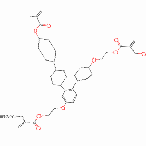 C=C(C)C(=O)OC1CCC(C2CCC(c3cc(OCCOC(=O)C(=C)COC)ccc3C3CCC(OCCOC(=O)C(=C)CO)CC3)CC2)CC1